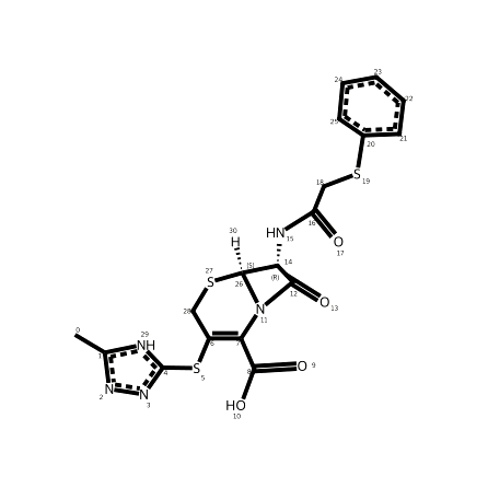 Cc1nnc(SC2=C(C(=O)O)N3C(=O)[C@@H](NC(=O)CSc4ccccc4)[C@@H]3SC2)[nH]1